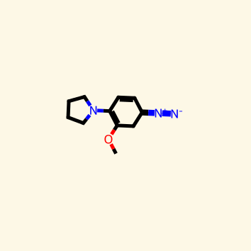 COC1=C(N2CCCC2)C=CC(=[N+]=[N-])C1